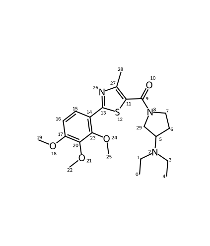 CCN(CC)C1CCN(C(=O)c2sc(-c3ccc(OC)c(OC)c3OC)nc2C)C1